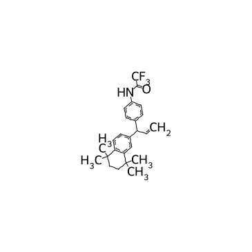 C=CC(c1ccc(NC(=O)C(F)(F)F)cc1)c1ccc2c(c1)C(C)(C)CCC2(C)C